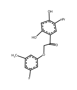 CCCc1cc(C(=O)COc2cc(C)cc(F)c2)c(O)cc1O